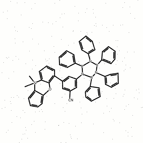 C[Si]1(C)c2ccccc2Oc2c(-c3cc(C#N)cc(N4B(c5ccccc5)N(c5ccccc5)B(c5ccccc5)N(c5ccccc5)B4c4ccccc4)c3)cccc21